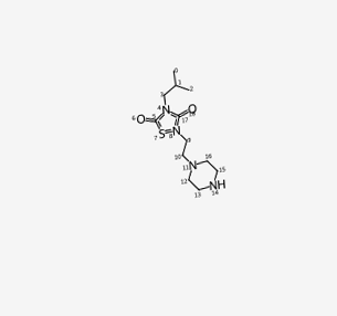 CC(C)Cn1c(=O)sn(CCN2CCNCC2)c1=O